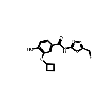 O=C(Nc1nnc(CF)s1)c1ccc(O)c(OC2CCC2)c1